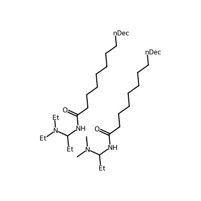 CCCCCCCCCCCCCCCCCC(=O)NC(CC)N(C)C.CCCCCCCCCCCCCCCCCC(=O)NC(CC)N(CC)CC